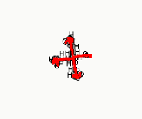 CC(=O)N[C@@H]1[C@@H](OC(C)=O)[C@@H](OC(C)=O)[C@@H](COC(C)=O)O[C@H]1SCCC(=O)NCCCCCNC(=O)CCOCC(COCCC(=O)NCCCCCNC(=O)CCS[C@@H]1O[C@H](COC(C)=O)[C@H](OC(C)=O)[C@H](OC(C)=O)[C@H]1NC(C)=O)(COCCC(=O)NCCCCCNC(=O)CCS[C@@H]1O[C@H](COC(C)=O)[C@H](OC(C)=O)[C@H](OC(C)=O)[C@H]1NC(C)=O)NC(=O)CCCCCCCCCCC(=O)OCc1ccccc1